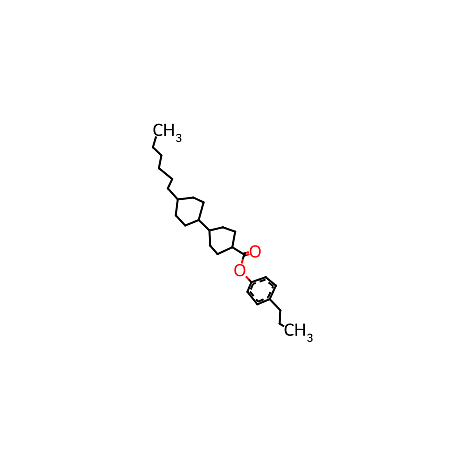 CCCCCCC1CCC(C2CCC(C(=O)Oc3ccc(CCC)cc3)CC2)CC1